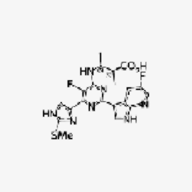 CSc1nc(-c2nc(-c3c[nH]c4ncc(F)cc34)nc(N[C@@H](C)[C@H](C)C(=O)O)c2F)c[nH]1